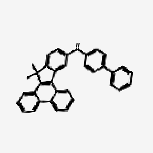 CC1(C)c2ccc(Nc3ccc(-c4ccccc4)cc3)cc2-c2c1c1ccccc1c1ccccc21